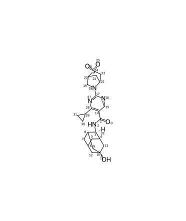 O=C(N[C@H]1C2CC3CC1C[C@@](O)(C3)C2)c1cnc(N2CC3CC2CS3(=O)=O)nc1C1CC1